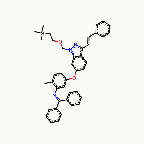 Cc1ccc(Oc2ccc3c(/C=C/c4ccccc4)nn(COCC[Si](C)(C)C)c3c2)cc1N=C(c1ccccc1)c1ccccc1